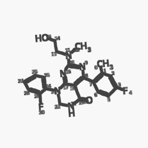 Cc1cc(F)ccc1-c1nc(N(C)CCO)nc2c1C(=O)NCN2c1ccccc1F